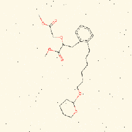 COC(=O)COC(Cc1ccccc1CCCCCCOC1CCCCO1)C(=O)OC